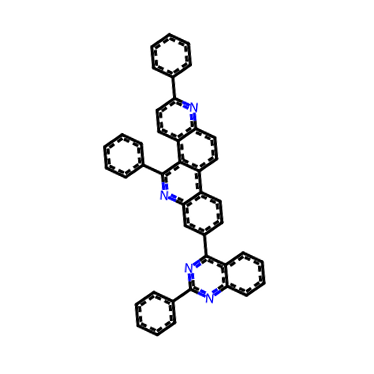 c1ccc(-c2ccc3c(ccc4c5ccc(-c6nc(-c7ccccc7)nc7ccccc67)cc5nc(-c5ccccc5)c34)n2)cc1